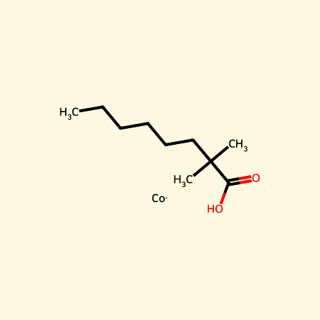 CCCCCCC(C)(C)C(=O)O.[Co]